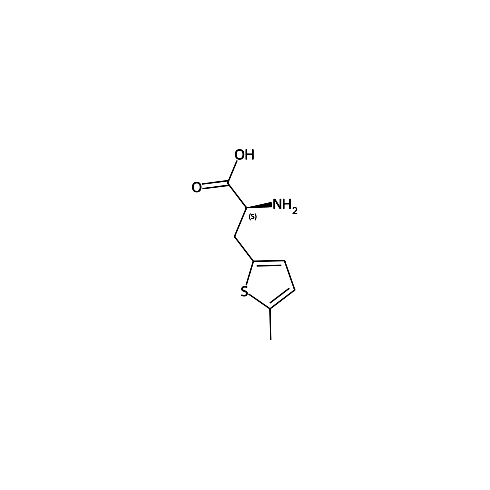 Cc1ccc(C[C@H](N)C(=O)O)s1